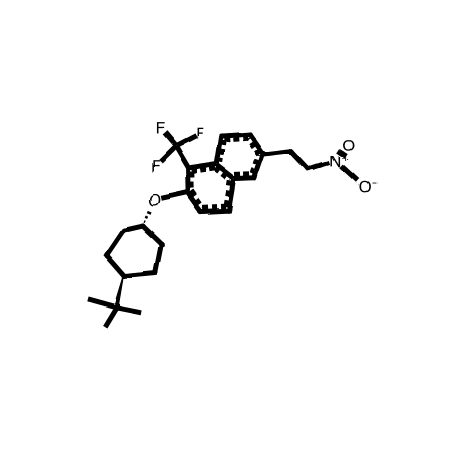 CC(C)(C)[C@H]1CC[C@H](Oc2ccc3cc(CC[N+](=O)[O-])ccc3c2C(F)(F)F)CC1